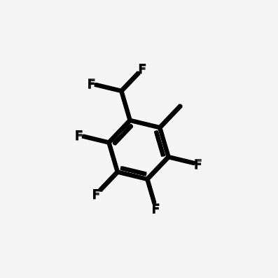 Cc1c(F)c(F)c(F)c(F)c1C(F)F